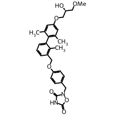 COC[C@H](O)COc1cc(C)c(-c2cccc(COc3ccc(Cn4oc(=O)[nH]c4=O)cc3)c2C)c(C)c1